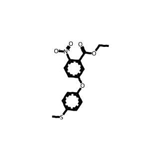 CCOC(=O)c1cc(Oc2ccc(SC)cc2)ccc1[N+](=O)[O-]